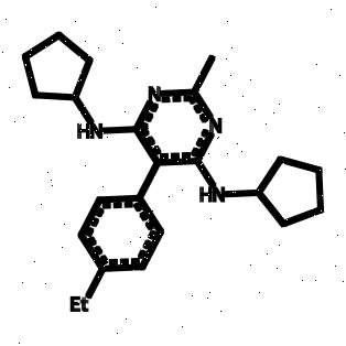 CCc1ccc(-c2c(NC3CCCC3)nc(C)nc2NC2CCCC2)cc1